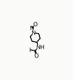 O=NN1CCC(NC(=O)I)CC1